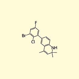 CC1=CC(C)(C)Nc2ccc(-c3cc(F)cc(Br)c3Cl)cc21